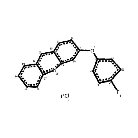 Cl.Fc1ccc(Oc2ccc3cc4ccccc4nc3c2)cc1